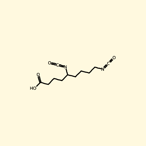 O=C=NCCCCC(CCCC(=O)O)N=C=O